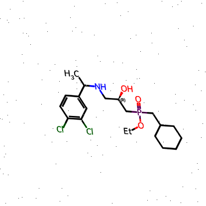 CCOP(=O)(CC1CCCCC1)C[C@H](O)CNC(C)c1ccc(Cl)c(Cl)c1